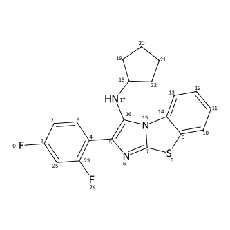 Fc1ccc(-c2nc3sc4ccccc4n3c2NC2CCCC2)c(F)c1